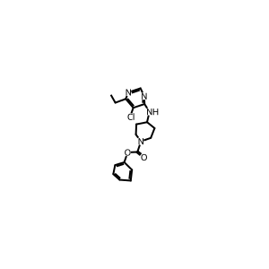 CCc1ncnc(NC2CCN(C(=O)Oc3ccccc3)CC2)c1Cl